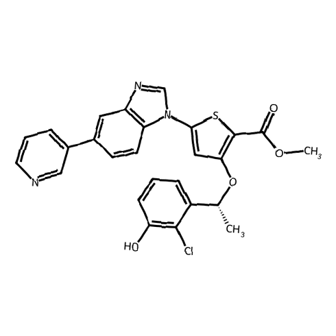 COC(=O)c1sc(-n2cnc3cc(-c4cccnc4)ccc32)cc1O[C@H](C)c1cccc(O)c1Cl